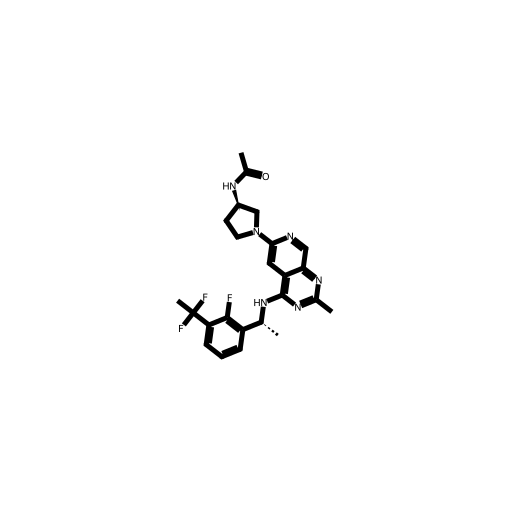 CC(=O)N[C@@H]1CCN(c2cc3c(N[C@H](C)c4cccc(C(C)(F)F)c4F)nc(C)nc3cn2)C1